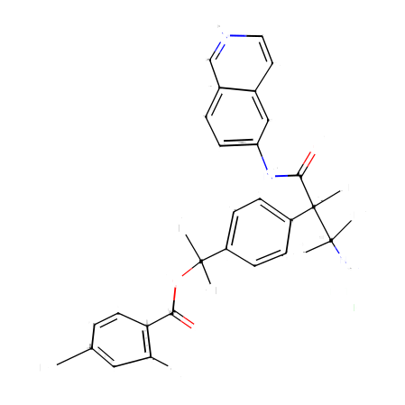 Cl.Cl.[2H]C([2H])(OC(=O)c1ccc(C)cc1C)c1ccc(C([2H])(C(=O)Nc2ccc3cnccc3c2)C([2H])([2H])N)cc1